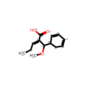 CC/C=C(/C(=O)O)C(OC)C1C=CC=CC1